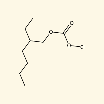 CCCCC(CC)COC(=O)OCl